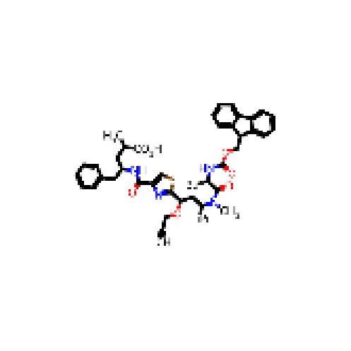 C#CCOC(CC(C(C)C)N(C)C(=O)C(NC(=O)OCC1c2ccccc2-c2ccccc21)C(C)CC)c1nc(C(=O)NC(Cc2ccccc2)CC(C)C(=O)O)cs1